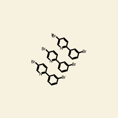 Brc1ccc(-c2cccc(Br)c2)nc1.Brc1ccc(-c2cccc(Br)c2)nc1.Brc1ccc(-c2cccc(Br)c2)nc1.[Ir]